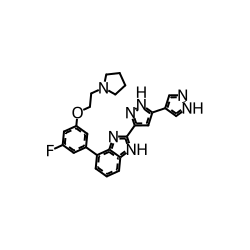 Fc1cc(OCCN2CCCC2)cc(-c2cccc3[nH]c(-c4cc(-c5cn[nH]c5)[nH]n4)nc23)c1